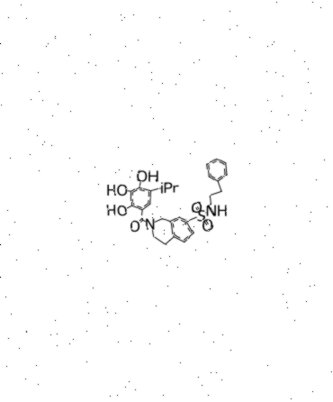 CC(C)c1cc(C(=O)N2CCc3ccc(S(=O)(=O)NCCc4ccccc4)cc3C2)c(O)c(O)c1O